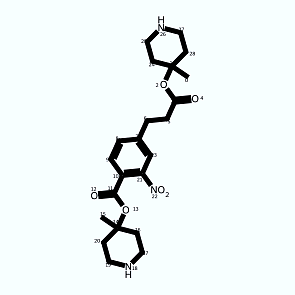 CC1(OC(=O)CCc2ccc(C(=O)OC3(C)CCNCC3)c([N+](=O)[O-])c2)CCNCC1